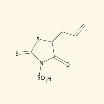 C=CCC1SC(=S)N(S(=O)(=O)O)C1=O